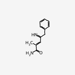 C/C(=C\C(=N)Cc1ccccc1)C(N)=O